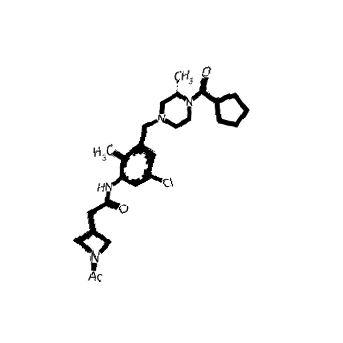 CC(=O)N1CC(CC(=O)Nc2cc(Cl)cc(CN3CCN(C(=O)C4CCCC4)[C@@H](C)C3)c2C)C1